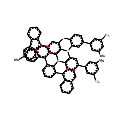 CC(C)(C)c1cc(-c2ccc3c(c2)B2c4cc(-c5cc(C(C)(C)C)cc(C(C)(C)C)c5)ccc4N(c4c(-c5cccc6ccccc56)cccc4-c4cccc5ccccc45)c4cc(-n5c6ccccc6c6cc(C(C)(C)C)ccc65)cc(c42)S3)cc(C(C)(C)C)c1